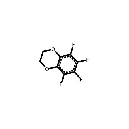 Fc1c(F)c(F)c2c(c1F)OCCO2